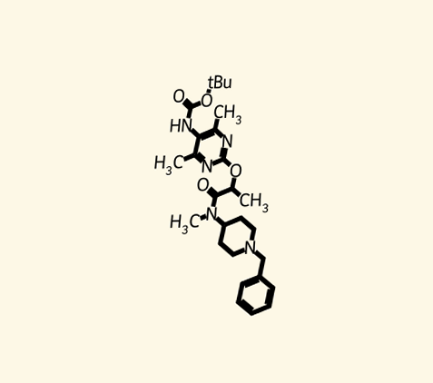 Cc1nc(OC(C)C(=O)N(C)C2CCN(Cc3ccccc3)CC2)nc(C)c1NC(=O)OC(C)(C)C